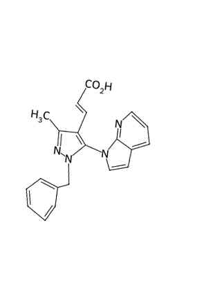 Cc1nn(Cc2ccccc2)c(-n2ccc3cccnc32)c1C=CC(=O)O